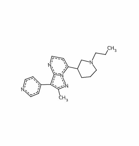 CCCN1CCCC(c2ccnc3c(-c4ccncc4)c(C)nn23)C1